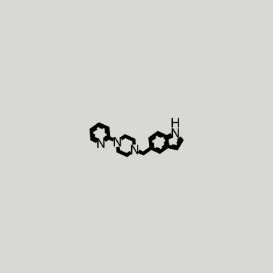 c1ccc(N2CCN(Cc3ccc4[nH]ccc4c3)CC2)nc1